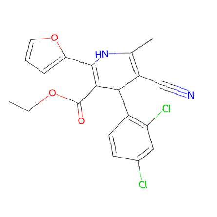 CCOC(=O)C1=C(c2ccco2)NC(C)=C(C#N)C1c1ccc(Cl)cc1Cl